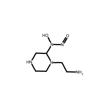 NCCN1CCNCC1N(O)N=O